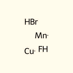 Br.F.[Cu].[Mn]